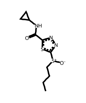 CCCC[S+]([O-])c1nnc(C(=O)NC2CC2)s1